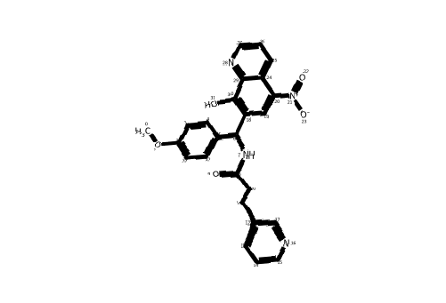 COc1ccc(C(NC(=O)CCc2cccnc2)c2cc([N+](=O)[O-])c3cccnc3c2O)cc1